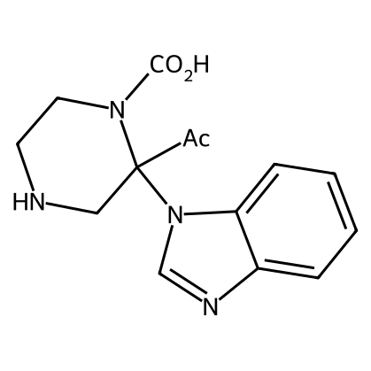 CC(=O)C1(n2cnc3ccccc32)CNCCN1C(=O)O